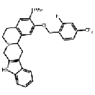 COc1cc2c(cc1OCc1ccc(C(F)(F)F)cc1F)C1Cc3c([nH]c4ccccc34)CN1CC2